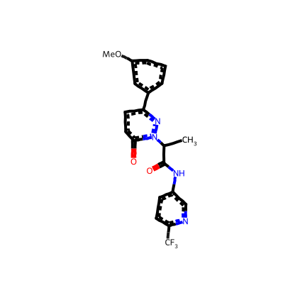 COc1cccc(-c2ccc(=O)n(C(C)C(=O)Nc3ccc(C(F)(F)F)nc3)n2)c1